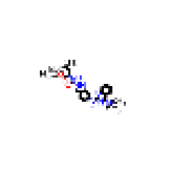 CCOC(=O)[C@H](CC(C)C)NC(=O)NCC1CCC(Nc2nc(N(C)C)c3ccccc3n2)CC1